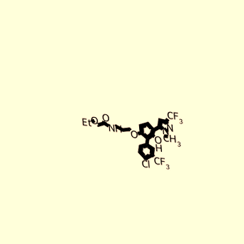 CCOCC(=O)NCCCOc1ccc(-c2cc(C(F)(F)F)nn2C)c(O)c1-c1ccc(Cl)c(C(F)(F)F)c1